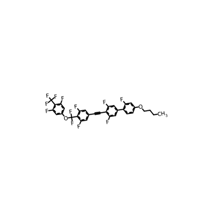 CCCCOc1ccc(-c2cc(F)c(C#Cc3cc(F)c(C(F)(F)Oc4cc(F)c(C(F)(F)F)c(F)c4)c(F)c3)c(F)c2)c(F)c1